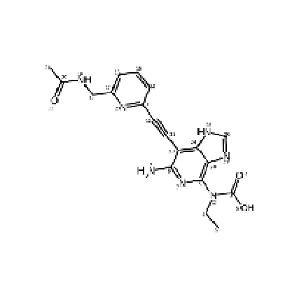 CCN(C(=O)O)c1nc(N)c(C#Cc2cccc(CNC(C)=O)n2)c2[nH]cnc12